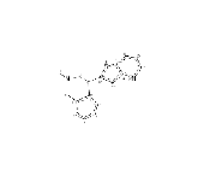 CN1Cc2ccccc2C(c2cc3ncccc3s2)C1